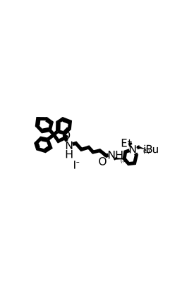 CC[C@H](C)C[N+]1(CC)CCC[C@@H](CNC(=O)CCCCCNC(=O)CC(c2ccccc2)(c2ccccc2)c2ccccc2)C1.[I-]